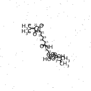 CC(C)CP(=O)(O)OP(=O)(O)OCCNC(=O)CCCCCN1C(=O)CC(C(C)C)C1=O